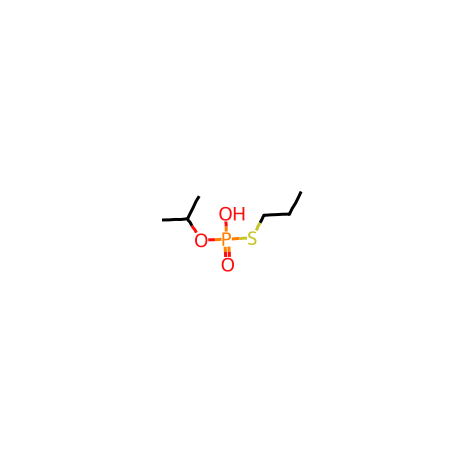 CCCSP(=O)(O)OC(C)C